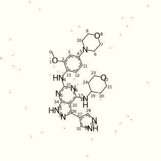 COc1cc(N2CCOCC2)ccc1Nc1nc(NC2CCOCC2)c2c(-c3cn[nH]c3)n[nH]c2n1